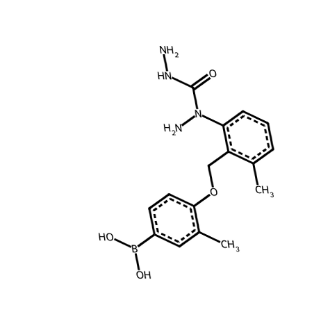 Cc1cc(B(O)O)ccc1OCc1c(C)cccc1N(N)C(=O)NN